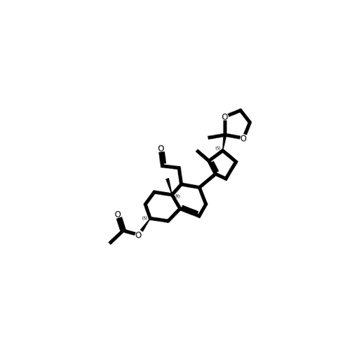 CC(=O)O[C@H]1CC[C@@]2(C)C(=CCC(C3=C(C)[C@@H](C4(C)OCCO4)CC3)C2CC=O)C1